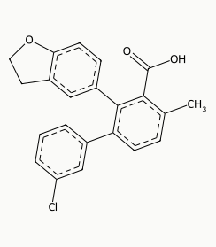 Cc1ccc(-c2cccc(Cl)c2)c(-c2ccc3c(c2)CCO3)c1C(=O)O